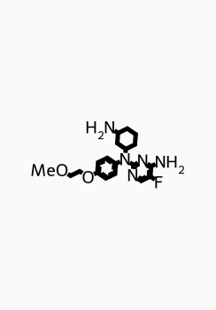 COCCOc1ccc(N(c2ncc(F)c(N)n2)C2CCCC(N)C2)cc1